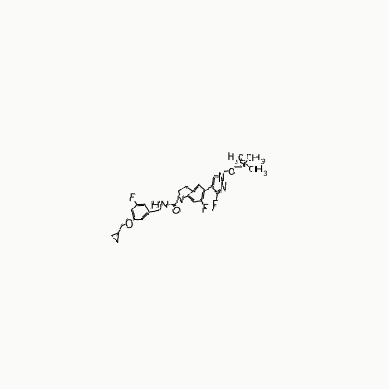 C[Si](C)(C)CCOCn1cc(-c2cc3c(cc2F)N(C(=O)NCc2cc(F)cc(OCC4CC4)c2)CC3)c(F)n1